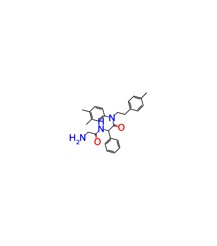 Cc1ccc(CCN(C(=O)C(NC(=O)CN)c2ccccc2)c2ccc(C)c(C)c2)cc1